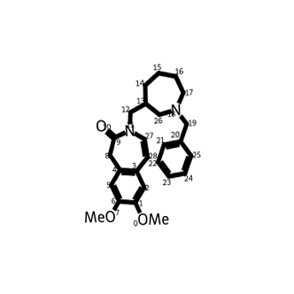 COc1cc2c(cc1OC)CC(=O)N(CC1CCCCN(Cc3ccccc3)C1)C=C2